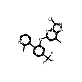 Cc1ncccc1-c1ccc(C(F)(F)F)cc1Oc1cc(C)c2nnc(Cl)n2n1